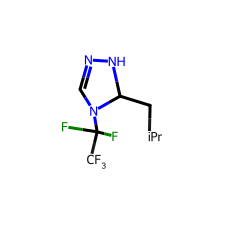 CC(C)CC1NN=CN1C(F)(F)C(F)(F)F